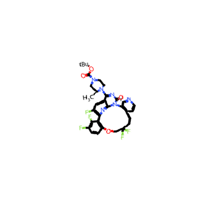 CC(C)c1nccc2c1-n1c(=O)nc(N3CCN(C(=O)OC(C)(C)C)C[C@@H]3C)c3cc(F)c(nc31)-c1c(ccc(F)c1F)OCC(F)(F)CC2